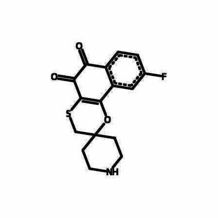 O=C1C(=O)c2ccc(F)cc2C2=C1SCC1(CCNCC1)O2